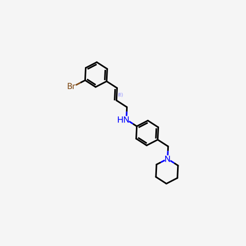 Brc1cccc(/C=C/CNc2ccc(CN3CCCCC3)cc2)c1